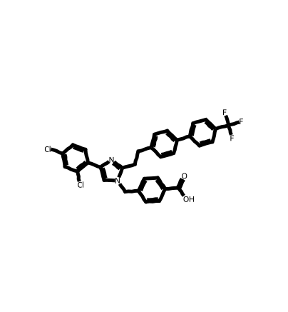 O=C(O)c1ccc(Cn2cc(-c3ccc(Cl)cc3Cl)nc2CCc2ccc(-c3ccc(C(F)(F)F)cc3)cc2)cc1